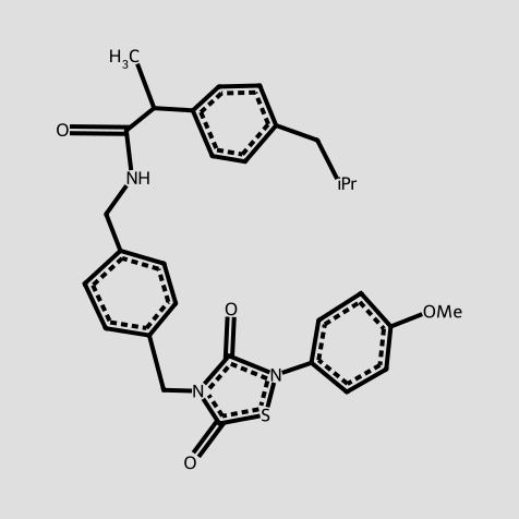 COc1ccc(-n2sc(=O)n(Cc3ccc(CNC(=O)C(C)c4ccc(CC(C)C)cc4)cc3)c2=O)cc1